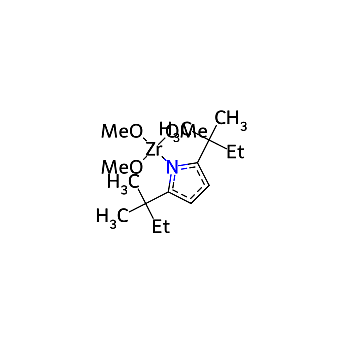 CCC(C)(C)c1ccc(C(C)(C)CC)[n]1[Zr]([O]C)([O]C)[O]C